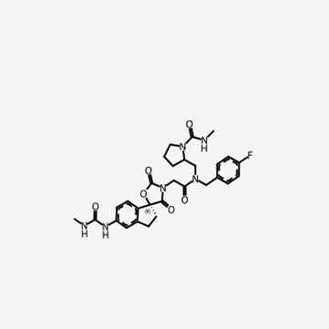 CNC(=O)Nc1ccc2c(c1)CC[C@@]21OC(=O)N(CC(=O)N(Cc2ccc(F)cc2)CC2CCCN2C(=O)NC)C1=O